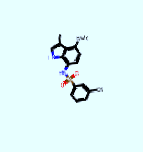 CNc1ccc(NS(=O)(=O)c2cccc(C#N)c2)c2[nH]cc(C)c12